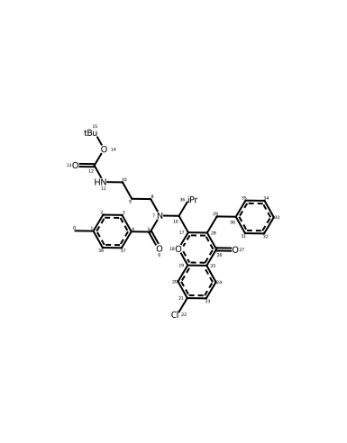 Cc1ccc(C(=O)N(CCCNC(=O)OC(C)(C)C)C(c2oc3cc(Cl)ccc3c(=O)c2Cc2ccccc2)C(C)C)cc1